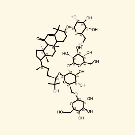 C[C@H](CC[C@@H](O[C@@H]1O[C@H](CO[C@@H]2O[C@H](CO)[C@@H](O)[C@H](O)[C@H]2O)[C@@H](O)[C@H](O)[C@H]1O[C@@H]1O[C@H](CO)[C@@H](O)[C@H](O)[C@H]1O)C(C)(C)O)C1CC[C@@]2(C)C3C(=O)C=C4C(CC[C@H](O[C@@H]5O[C@H](CO)[C@@H](O)[C@H](O)[C@H]5O)C4(C)C)[C@]3(C)CC[C@]12C